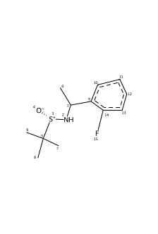 CC(N[S@@+]([O-])C(C)(C)C)c1ccccc1F